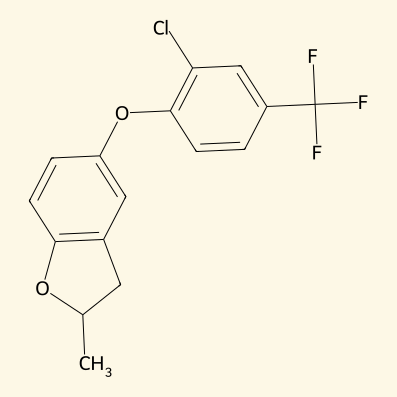 CC1Cc2cc(Oc3ccc(C(F)(F)F)cc3Cl)ccc2O1